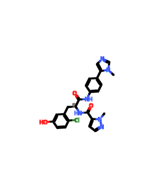 Cn1cncc1-c1ccc(NC(=O)[C@H](Cc2cc(O)ccc2Cl)NC(=O)c2ccnn2C)cc1